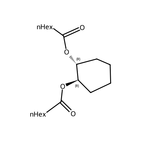 CCCCCCC(=O)O[C@@H]1CCCC[C@H]1OC(=O)CCCCCC